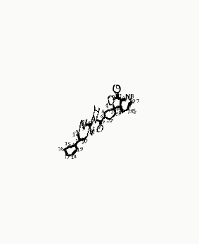 O=C1OC2(CCC(C(=O)Nc3ncc(-c4ccccc4)cn3)CC2)c2cccnc21